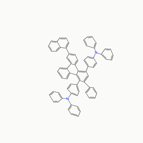 c1ccc(-c2cc(-c3ccc(N(c4ccccc4)c4ccccc4)cc3)c3c4ccc(-c5cccc6ccccc56)cc4c4ccccc4c3c2-c2ccc(N(c3ccccc3)c3ccccc3)cc2)cc1